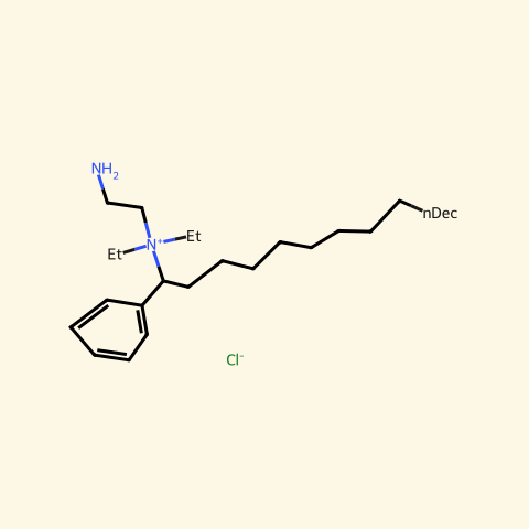 CCCCCCCCCCCCCCCCCCC(c1ccccc1)[N+](CC)(CC)CCN.[Cl-]